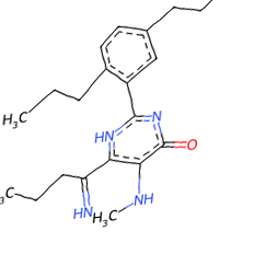 CCCC(=N)c1[nH]c(-c2cc(CCC)ccc2CCC)nc(=O)c1NC